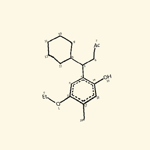 CCOc1cc(C(CC(C)=O)C2CCCCC2)c(O)cc1C